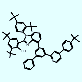 CC(C)(C)c1ccc(-c2ccnc(-c3cc(-c4ccccc4)cc(-c4cccc5c4nc(-c4cc(C(C)(C)C)cc(C(C)(C)C)c4O)n5-c4ccc(C(C)(C)C)cc4C(C)(C)C)c3)c2)cc1